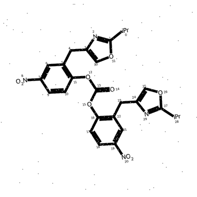 CC(C)c1nc(Cc2cc([N+](=O)[O-])ccc2OC(=O)Oc2ccc([N+](=O)[O-])cc2Cc2coc(C(C)C)n2)co1